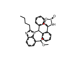 CCCCc1nc2cccc(C(=O)OC)c2n1C(c1ccccc1)c1ccccc1C1=NOS(=O)N1